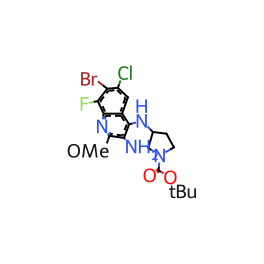 COc1nc2c(F)c(Br)c(Cl)cc2c(NC2CCN(C(=O)OC(C)(C)C)C2)c1N